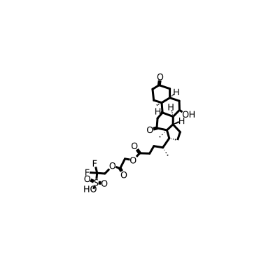 C[C@H](CCC(=O)OCC(=O)OCC(F)(F)S(=O)(=O)O)[C@H]1CC[C@H]2[C@@H]3C(O)C[C@@H]4CC(=O)CC[C@]4(C)[C@H]3CC(=O)[C@]12C